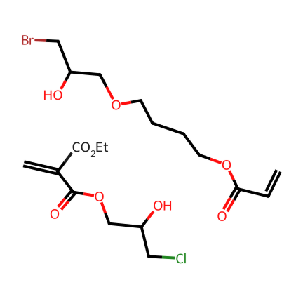 C=C(C(=O)OCC)C(=O)OCC(O)CCl.C=CC(=O)OCCCCOCC(O)CBr